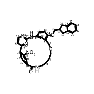 O=C1NCCCCOCc2cc(ccc2OCC2Cc3ccccc3C2)Nc2nccc(n2)-c2ccc1cc2[N+](=O)[O-]